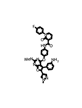 CNc1nc(Oc2ccc(NC(=O)c3cccn(-c4ccc(F)cc4)c3=O)cc2)c2c(-c3cccc(N)c3)c(-c3cnn(C)c3)oc2n1